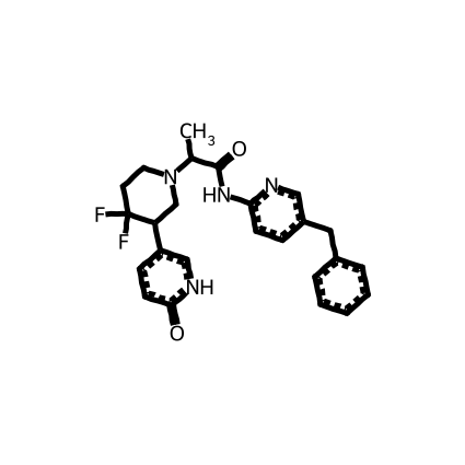 CC(C(=O)Nc1ccc(Cc2ccccc2)cn1)N1CCC(F)(F)C(c2ccc(=O)[nH]c2)C1